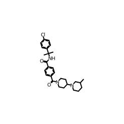 CC1CCCN(C2CCN(C(=O)c3ccc(C(=O)NC(C)(C)c4ccc(Cl)cc4)cc3)CC2)C1